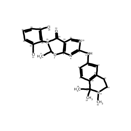 CC1Oc2nc(Nc3ccc4c(c3)CCN(C)C4(C)C)ncc2C(=O)N1c1c(Cl)cccc1Cl